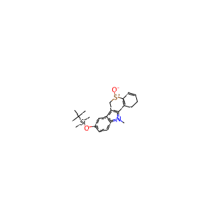 Cn1c2c(c3cc(O[Si](C)(C)C(C)(C)C)ccc31)C[S+]([O-])C1=C2CCC=C1